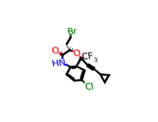 O=C1Nc2ccc(Cl)cc2[C@@](C#CC2CC2)(C(F)(F)F)O[C@H]1CCBr